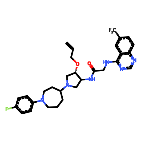 C=CCO[C@H]1CN(C2CCCN(c3ccc(F)cc3)CC2)CC1NC(=O)CNc1ncnc2ccc(C(F)(F)F)cc12